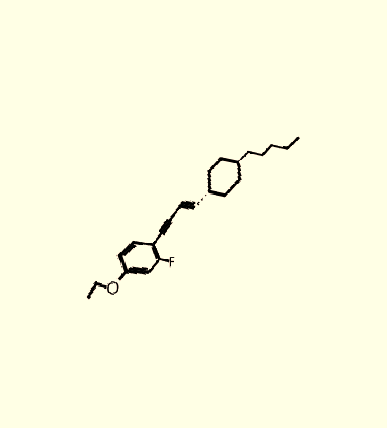 CCCCC[C@H]1CC[C@H](/C=C/C#Cc2ccc(OCC)cc2F)CC1